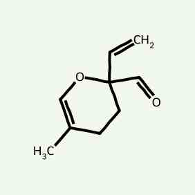 C=CC1(C=O)CCC(C)=CO1